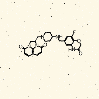 O=C1COc2c(F)cc(CNC3CCN(C[C@@H]4Cn5c(=O)ccc6ccc(=O)n4c65)CC3)cc2N1